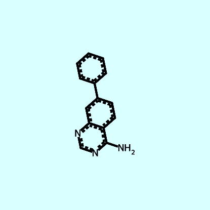 Nc1ncnc2cc(-c3ccccc3)ccc12